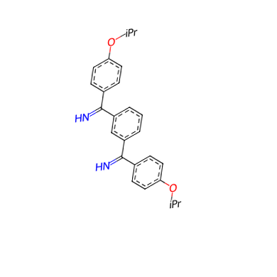 CC(C)Oc1ccc(C(=N)c2cccc(C(=N)c3ccc(OC(C)C)cc3)c2)cc1